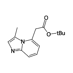 Cc1cnc2cccc(CC(=O)OC(C)(C)C)n12